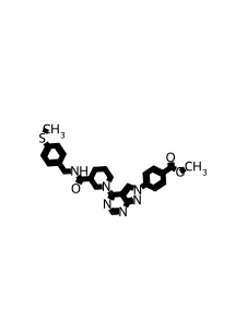 COC(=O)c1ccc(-n2cc3c(N4CCCC(C(=O)NCc5ccc(SC)cc5)C4)ncnc3n2)cc1